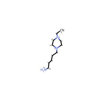 N#CCN1CCN(CCCCCN)CC1